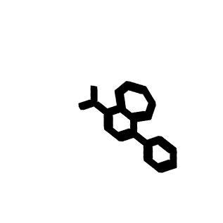 CP(C)c1ccc(-c2ccccc2)c2c1=CC=CCC=2